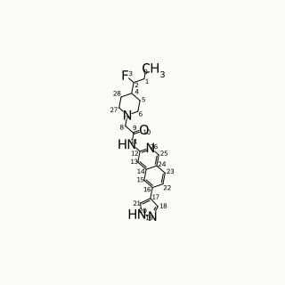 CCC(F)C1CCN(CC(=O)Nc2cc3cc(-c4cn[nH]c4)ccc3cn2)CC1